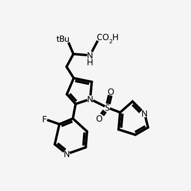 CC(C)(C)C(Cc1cc(-c2ccncc2F)n(S(=O)(=O)c2cccnc2)c1)NC(=O)O